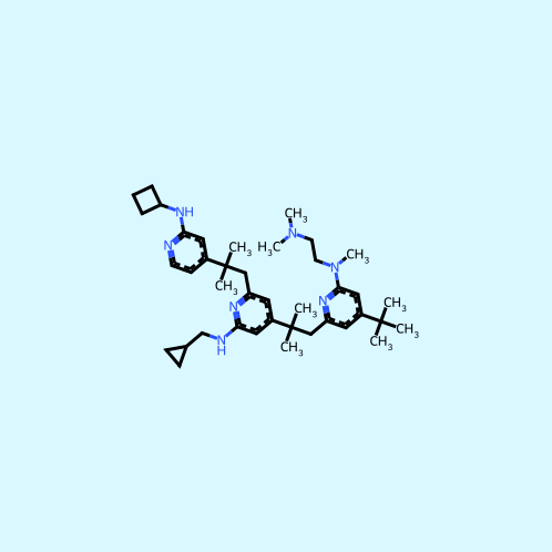 CN(C)CCN(C)c1cc(C(C)(C)C)cc(CC(C)(C)c2cc(CC(C)(C)c3ccnc(NC4CCC4)c3)nc(NCC3CC3)c2)n1